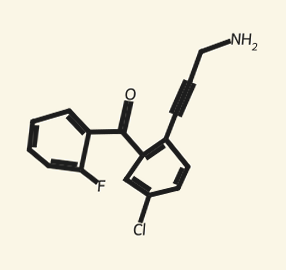 NCC#Cc1ccc(Cl)cc1C(=O)c1ccccc1F